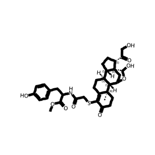 COC(=O)C(Cc1ccc(O)cc1)NC(=O)CSC1=C2CC[C@H]3[C@@H]4CC[C@H](C(=O)CO)[C@@]45CC(OC5O)[C@@H]3[C@@]2(C)CCC1=O